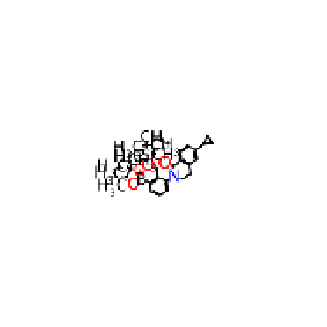 CC1(C)OB(c2cccc(N3CCc4cc(C5CC5)ccc4C3=O)c2CO[Si](C)(C)C(C)(C)C)OC1(C)C